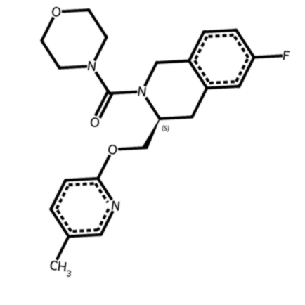 Cc1ccc(OC[C@@H]2Cc3cc(F)ccc3CN2C(=O)N2CCOCC2)nc1